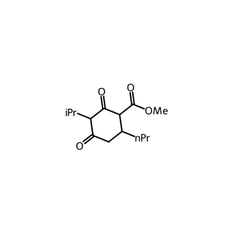 CCCC1CC(=O)C(C(C)C)C(=O)C1C(=O)OC